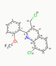 FC(F)(F)Oc1ccccc1-c1nc2c(Cl)cccc2cc1CCl